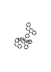 C1=C(c2cccc3ccc4ccccc4c23)NC(c2ccc(-c3c4ccccc4cc4c3ccc3ccccc34)cc2)NC1c1ccccc1-c1ccccc1